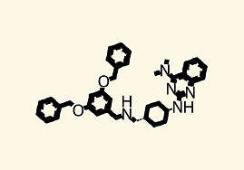 CN(C)c1nc(N[C@H]2CC[C@@H](CNCc3cc(OCc4ccccc4)cc(OCc4ccccc4)c3)CC2)nc2ccccc12